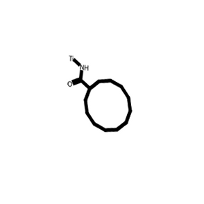 O=C([NH][Ti])C1CCCCCCCCCCC1